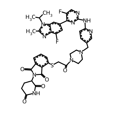 Cc1nc2c(F)cc(-c3nc(Nc4ccc(CN5CCN(C(=O)CSc6cccc7c6C(=O)N(C6CCC(=O)NC6=O)C7=O)CC5)cn4)ncc3F)cc2n1C(C)C